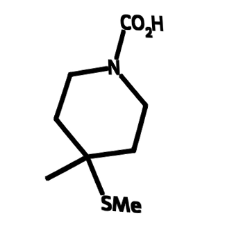 CSC1(C)CCN(C(=O)O)CC1